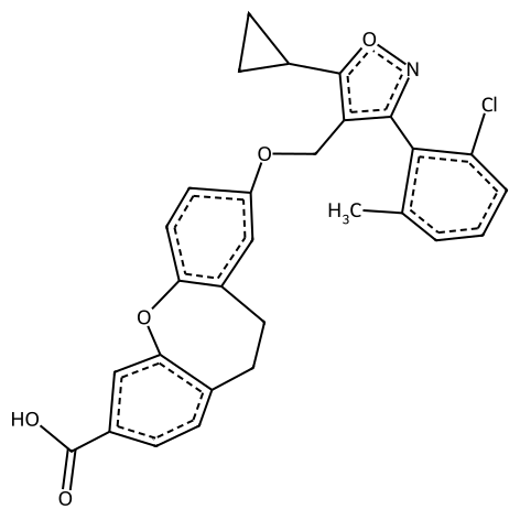 Cc1cccc(Cl)c1-c1noc(C2CC2)c1COc1ccc2c(c1)CCc1ccc(C(=O)O)cc1O2